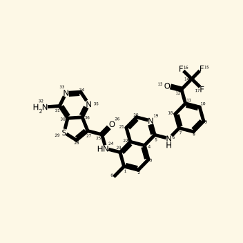 Cc1ccc2c(Nc3cccc(C(=O)C(F)(F)F)c3)nccc2c1NC(=O)c1csc2c(N)ncnc12